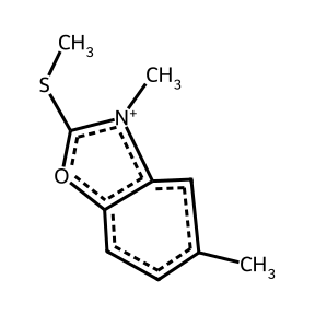 CSc1oc2ccc(C)cc2[n+]1C